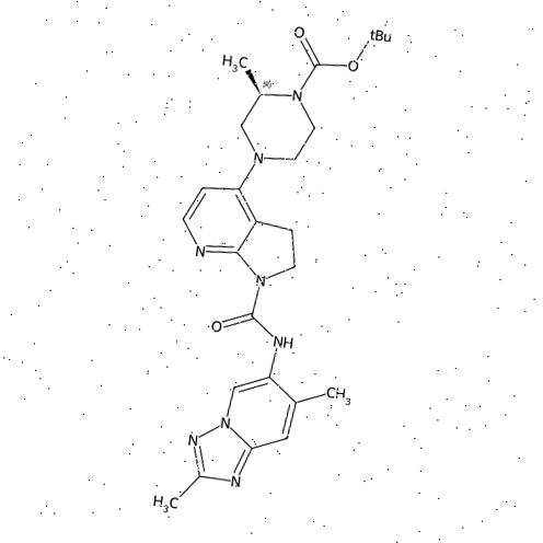 Cc1nc2cc(C)c(NC(=O)N3CCc4c(N5CCN(C(=O)OC(C)(C)C)[C@H](C)C5)ccnc43)cn2n1